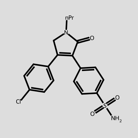 CCCN1CC(c2ccc(Cl)cc2)=C(c2ccc(S(N)(=O)=O)cc2)C1=O